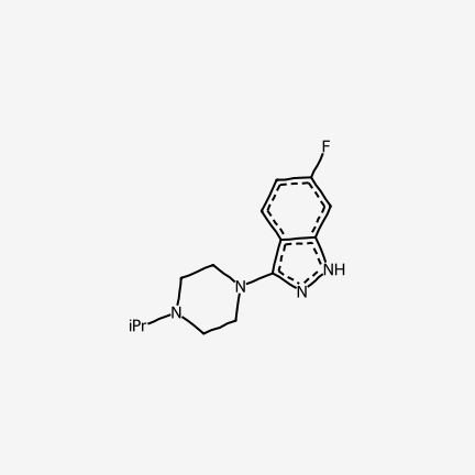 CC(C)N1CCN(c2n[nH]c3cc(F)ccc23)CC1